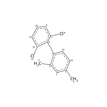 Cc1[c]c(C)c(-c2c(Cl)cccc2Cl)cc1